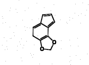 C1=CC2=CCC3=C(OCO3)C2=C1